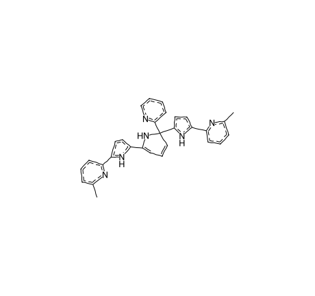 Cc1cccc(-c2ccc(C3=CC=CC(c4ccccn4)(c4ccc(-c5cccc(C)n5)[nH]4)N3)[nH]2)n1